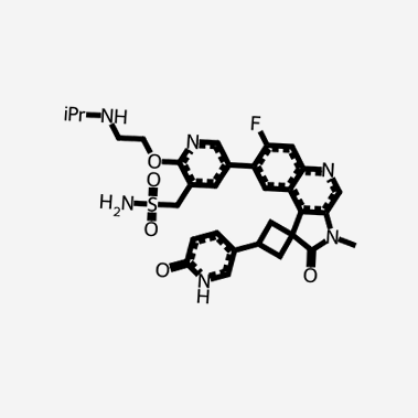 CC(C)NCCOc1ncc(-c2cc3c4c(cnc3cc2F)N(C)C(=O)C42CC(c3ccc(=O)[nH]c3)C2)cc1CS(N)(=O)=O